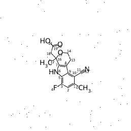 Cc1cc(F)c2[nH]c3c(c2c1C#N)CCOC3(C)CC(=O)O